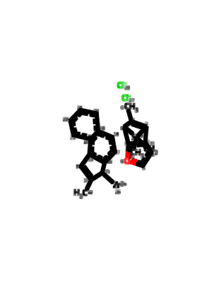 CC1=C2c3ccoc3C1[Si]2(C)C.CC1=Cc2c(ccc3ccccc23)[CH]1[Zr+2].[Cl-].[Cl-]